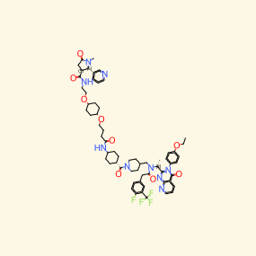 CCOc1ccc(-n2c([C@@H](C)N(CC3CCN(C(=O)[C@H]4CC[C@H](NC(=O)CCCO[C@H]5CC[C@H](OCCNC(=O)[C@H]6CC(=O)N(C)[C@@H]6c6cccnc6)CC5)CC4)CC3)C(=O)Cc3ccc(F)c(C(F)(F)F)c3)nc3ncccc3c2=O)cc1